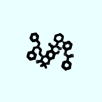 CCN(C(=O)c1cc2c(cc1F)OC(C)(C)C(=O)N2CCN(Cc1ccccc1)Cc1ccccc1)C1CCCC[C@@H]1c1cccc(OC(=O)c2ccccc2)c1